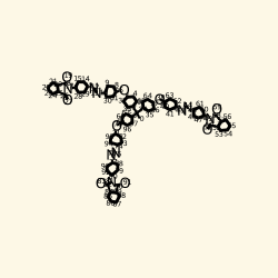 CC(c1ccc(Oc2ccc(/N=N/c3ccc(N4C(=O)c5ccccc5C4=O)cc3)cc2)cc1)(c1ccc(Oc2ccc(/N=N/c3ccc(N4C(=O)c5ccccc5C4=O)cc3)cc2)cc1)c1ccc(Oc2ccc(/N=N/c3ccc(N4C(=O)c5ccccc5C4=O)cc3)cc2)cc1